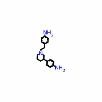 Nc1ccc(CCN2CCCC(c3ccc(N)cc3)C2)cc1